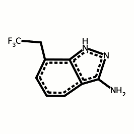 Nc1n[nH]c2c(CC(F)(F)F)cccc12